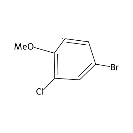 COc1[c]cc(Br)cc1Cl